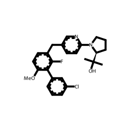 COc1ccc(Cc2ccc(N3CCC[C@H]3C(C)(C)O)nc2)c(F)c1-c1cccc(Cl)c1